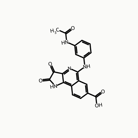 CC(=O)Nc1cccc(Nc2nc3c(c4ccc(C(=O)O)cc24)NC(=O)C3=O)c1